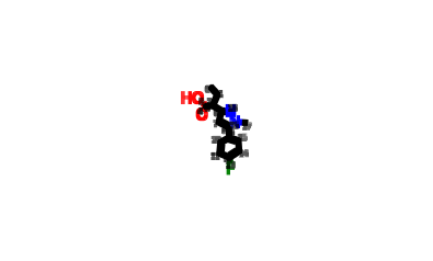 CCC(C(=O)O)c1cc(-c2ccc(F)cc2)n(C)n1